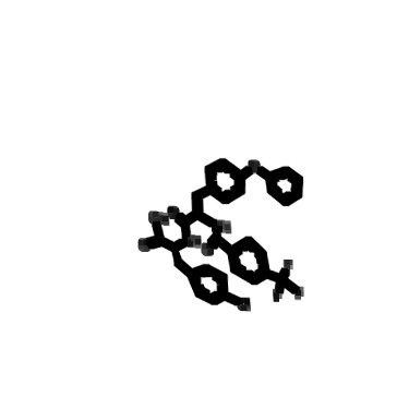 O=C(N[C@@H](Cc1ccc(Cl)cc1)C(=O)O)C(=Cc1ccc(Oc2ccccc2)cc1)NC(=O)c1ccc(C(F)(F)F)cc1